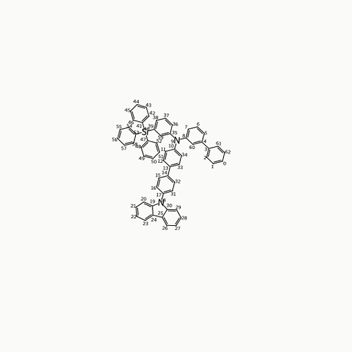 c1ccc(-c2cccc(N(c3ccc(-c4ccc(-n5c6ccccc6c6ccccc65)cc4)cc3)c3cccc([Si](c4ccccc4)(c4ccccc4)c4ccccc4)c3)c2)cc1